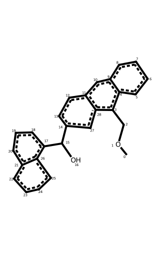 COCc1c2ccccc2cc2ccc(C(O)c3cccc4ccccc34)cc12